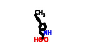 CCC#Cc1ccc2[nH]c(C(=O)O)cc2c1